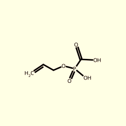 C=CCOP(=O)(O)C(=O)O